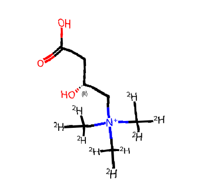 [2H]C([2H])([2H])[N+](C[C@H](O)CC(=O)O)(C([2H])([2H])[2H])C([2H])([2H])[2H]